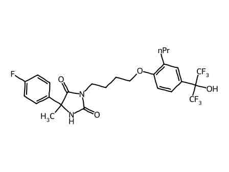 CCCc1cc(C(O)(C(F)(F)F)C(F)(F)F)ccc1OCCCCN1C(=O)NC(C)(c2ccc(F)cc2)C1=O